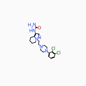 NC(=O)NC1=C2CCCC[N+]2(CCN2CCN(c3cccc(Cl)c3Cl)CC2)N=C1